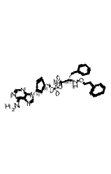 Nc1ncnc2c1ncn2[C@@H]1C=C[C@H](COP(N)(=O)OC(=O)[C@H](Cc2ccccc2)NOCCc2ccccc2)C1